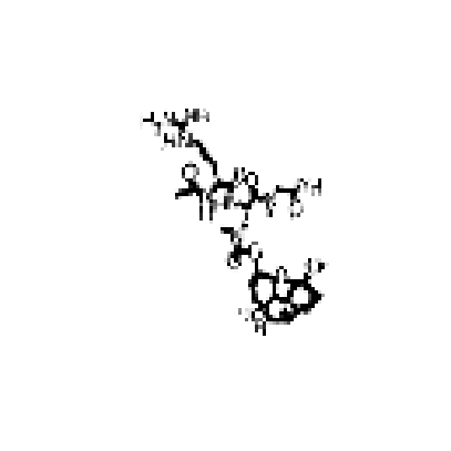 COc1ccc2c3c1OC1C(OC(=O)N(C)C[C@H](NC(=O)[C@H](CCCNC(=N)N)NC(C)=O)C(=O)N(C)CC(=O)O)=CCC4(O)[C@H](CCC[C@]314)C2